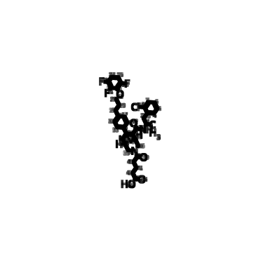 CC(Cc1ccccc1Cl)NC(=O)C1=C(c2ccc(CCCOc3c(F)ccc(F)c3F)cc2)C[C@@H]2CN(C(=O)CCCC(=O)O)C[C@H]1N2